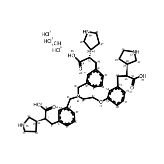 Cl.Cl.Cl.Cl.O=C(O)C(Cc1cccc(CN(CCOc2cccc(CC(C(=O)O)[C@H]3CCNC3)c2)Cc2cccc(CC(C(=O)O)[C@H]3CCNC3)c2)c1)[C@H]1CCNC1